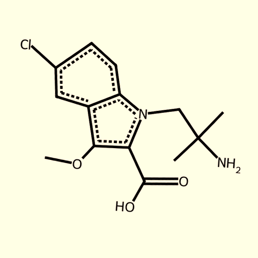 COc1c(C(=O)O)n(CC(C)(C)N)c2ccc(Cl)cc12